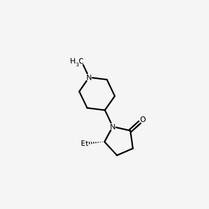 CC[C@H]1CCC(=O)N1C1CCN(C)CC1